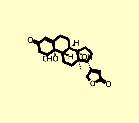 C[C@]12CC[C@H]3[C@@H](CCC4=CC(=O)CC[C@@]43C=O)[C@@]1(O)CC[C@@H]2C1=CC(=O)OC1